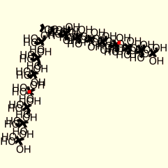 C=C(C)C(=O)O.C=C(C)C(=O)O.OCC(CO)(CO)CO.OCC(CO)(CO)CO.OCC(CO)(CO)CO.OCC(CO)(CO)CO.OCC(CO)(CO)CO.OCC(CO)(CO)CO.OCC(CO)(CO)CO.OCC(CO)(CO)CO.OCC(CO)(CO)CO.OCC(CO)(CO)CO.OCC(CO)(CO)CO.OCC(CO)(CO)CO.OCC(CO)(CO)CO.OCC(CO)(CO)CO.OCC(CO)(CO)CO